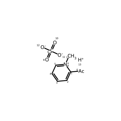 CC(=O)c1cccc[n+]1C.O=S(=O)([O-])[O-].[H+]